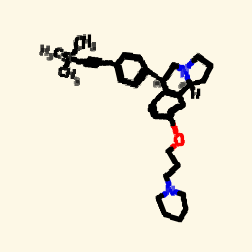 C[Si](C)(C)C#Cc1ccc([C@H]2CN3CCC[C@@H]3c3cc(OCCCN4CCCCC4)ccc32)cc1